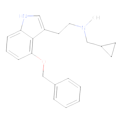 CN(CCc1c[nH]c2cccc(OCc3ccccc3)c12)CC1CC1